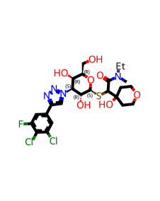 CCN(C)C(=O)C(S[C@@H]1O[C@H](CO)[C@H](O)[C@H](n2cc(-c3cc(F)c(Cl)c(Cl)c3)nn2)[C@H]1O)C1(O)CCOCC1